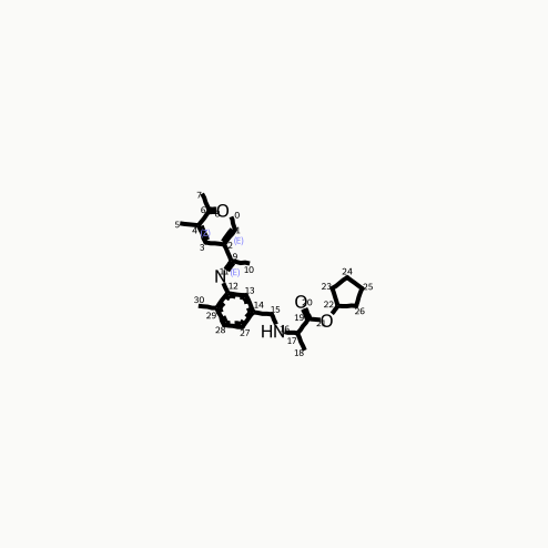 C/C=C(\C=C(\C)C(C)=O)C(/C)=N/c1cc(CNC(C)C(=O)OC2CCCC2)ccc1C